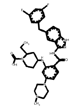 CCC1CC(Nc2cc(N3CCN(C)CC3)ccc2C(=O)Nc2n[nH]c3ccc(Cc4cc(F)cc(F)c4)cc23)CCN1C(=O)O